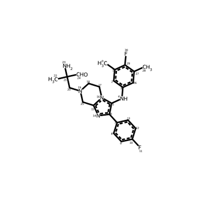 Cc1cc(Nc2c(-c3ccc(F)cc3)nc3n2CCN(CC(C)(N)C=O)C3)cc(C)c1F